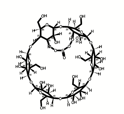 O=[Si]1OO[C@@H]2[C@@H](O)[C@H]3O[C@@H]4[C@H](OO1)[C@@H](O)[C@@H](O[C@H]1[C@H](O)[C@@H](O)[C@@H](O[C@H]5[C@H](O)[C@@H](O)[C@@H](O[C@H]6[C@H](O)[C@@H](O)[C@@H](O[C@H]7[C@H](O)[C@@H](O)[C@@H](O[C@H]2[C@@H](CO)O3)O[C@@H]7CO)O[C@@H]6CO)O[C@@H]5CO)O[C@@H]1CO)O[C@@H]4CO